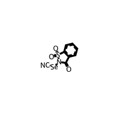 N#C[Se]N1C(=O)c2ccccc2S1(=O)=O